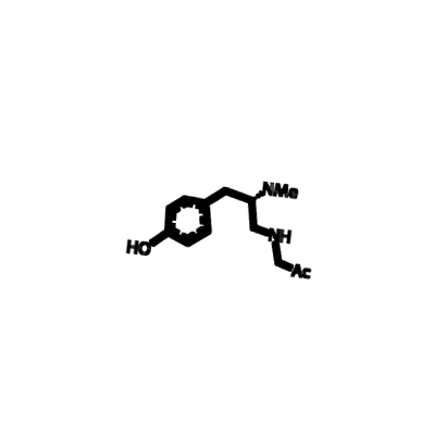 CN[C@H](CNCC(C)=O)Cc1ccc(O)cc1